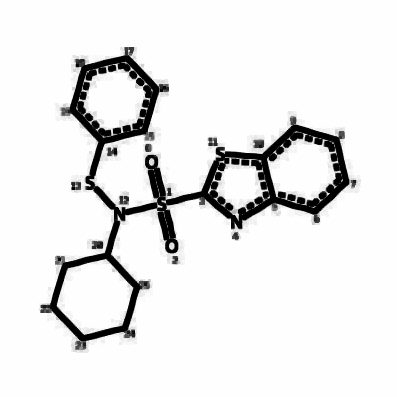 O=S(=O)(c1nc2ccccc2s1)N(Sc1ccccc1)C1CCCCC1